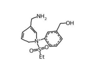 CCS(=O)(=O)[N+]1(c2cccc(CO)c2)C=C(CN)C=CC1